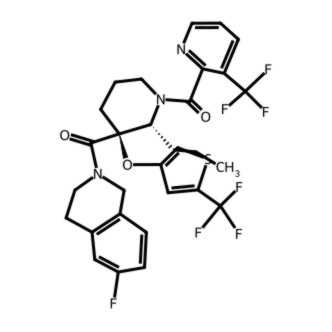 CCC[C@H]1N(C(=O)c2ncccc2C(F)(F)F)CCC[C@@]1(Oc1csc(C(F)(F)F)c1)C(=O)N1CCc2cc(F)ccc2C1